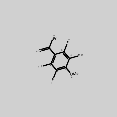 COc1c(F)c(F)c(C(=O)C(C)C)c(F)c1F